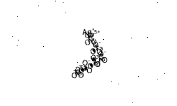 [Ag+].[Nb+5].[O]=[Ta](=[O])[O-].[O]=[Ta](=[O])[O-].[O]=[Ta](=[O])[O-].[O]=[Ta](=[O])[O-].[O]=[Ta](=[O])[O-].[O]=[Ta](=[O])[O-]